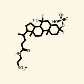 CC(CCC(=O)NCCS(=O)(=O)O)C1CCC2C3C(CCC12C)C1(C)CCC(F)(OP(=O)(O)O)CC1CC3(O)F